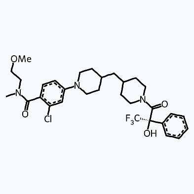 COCCN(C)C(=O)c1ccc(N2CCC(CC3CCN(C(=O)[C@](O)(c4ccccc4)C(F)(F)F)CC3)CC2)cc1Cl